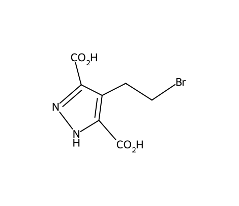 O=C(O)c1n[nH]c(C(=O)O)c1CCBr